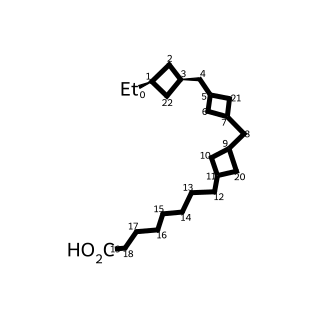 CC[C@H]1C[C@@H](CC2CC(CC3CC(CCCCCCCC(=O)O)C3)C2)C1